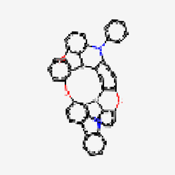 c1ccc(N2c3cc4c5cc3B3c6c(cccc6Oc6ccc7c8ccccc8n8c7c6B5c5c(cccc5-8)O4)Oc4cccc2c43)cc1